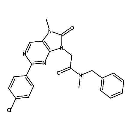 CN(Cc1ccccc1)C(=O)Cn1c(=O)n(C)c2cnc(-c3ccc(Cl)cc3)nc21